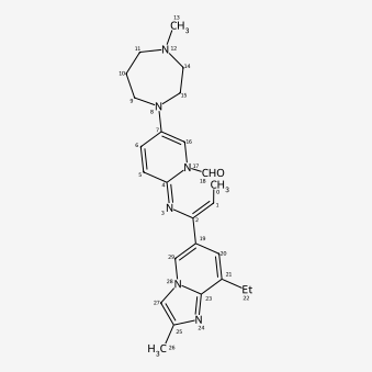 C/C=C(\N=c1\ccc(N2CCCN(C)CC2)cn1C=O)c1cc(CC)c2nc(C)cn2c1